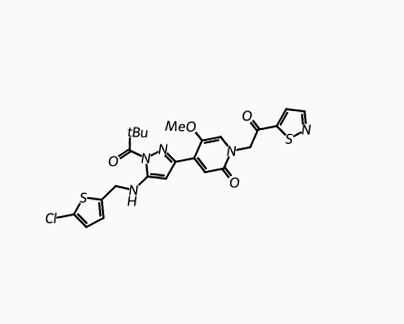 COc1cn(CC(=O)c2ccns2)c(=O)cc1-c1cc(NCc2ccc(Cl)s2)n(C(=O)C(C)(C)C)n1